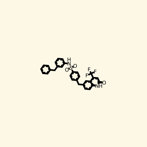 O=c1cc(C(F)(F)F)c2cc(Cc3ccc(S(=O)(=O)Nc4cccc(Cc5ccccc5)c4)cc3)ccc2[nH]1